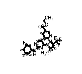 CCOC(=O)c1cncc(-c2cnc(Nc3cc(F)cc(F)c3)nc2-n2nc(C(F)(F)F)cc2C)c1